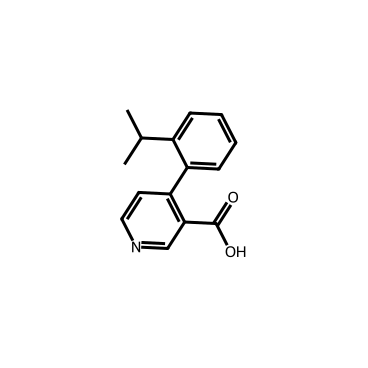 CC(C)c1ccccc1-c1ccncc1C(=O)O